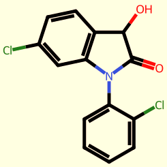 O=C1C(O)c2ccc(Cl)cc2N1c1ccccc1Cl